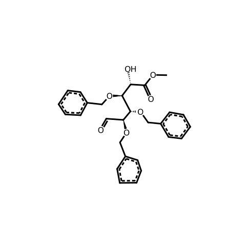 COC(=O)[C@@H](O)[C@H](OCc1ccccc1)[C@H](OCc1ccccc1)[C@H](C=O)OCc1ccccc1